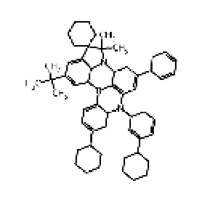 CC(C)(C)C1=CC2B3C4=CC=C(C5CCCCC5)CC4N(C4C=C(C5CCCCC5)C=CC4)C4=C3C(CC(C3C=CC=CC3)=C4)N3C2C(=C1)C1(CCCCC1)C3(C)C